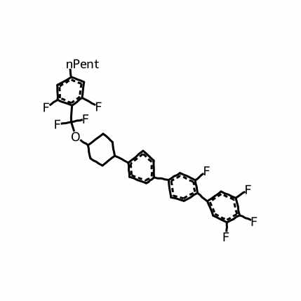 CCCCCc1cc(F)c(C(F)(F)OC2CCC(c3ccc(-c4ccc(-c5cc(F)c(F)c(F)c5)c(F)c4)cc3)CC2)c(F)c1